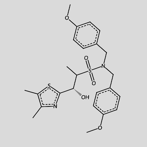 COc1ccc(CN(Cc2ccc(OC)cc2)S(=O)(=O)C(C)[C@H](O)c2nc(C)c(C)s2)cc1